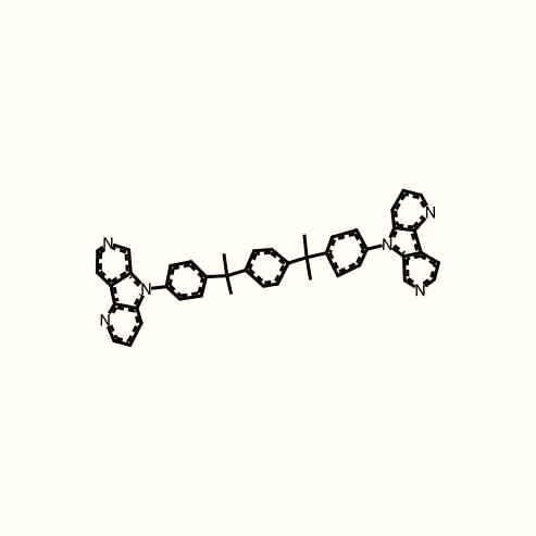 CC(C)(c1ccc(-n2c3cnccc3c3ncccc32)cc1)c1ccc(C(C)(C)c2ccc(-n3c4cnccc4c4ncccc43)cc2)cc1